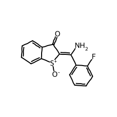 NC(=C1C(=O)c2ccccc2[S+]1[O-])c1ccccc1F